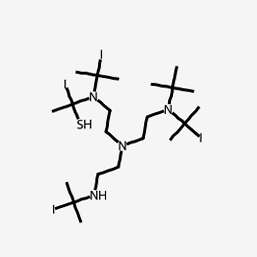 CC(C)(I)NCCN(CCN(C(C)(C)C)C(C)(C)I)CCN(C(C)(C)I)C(C)(S)I